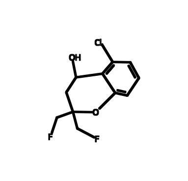 OC1CC(CF)(CF)Oc2cccc(Cl)c21